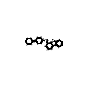 c1ccc2c(c1)oc1c(Nc3ccc(C4CCCCC4)cc3)cccc12